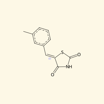 Cc1cccc(/C=C2\SC(=O)NC2=O)c1